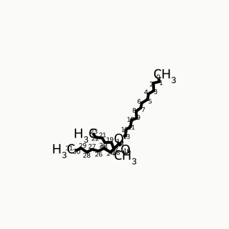 CCCCCCCCCCCCCCOC(=O)C(C)(CCCCC)CCCCCCCC